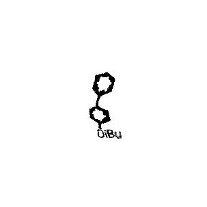 CC(C)COc1ccc(-c2ccccc2)cc1